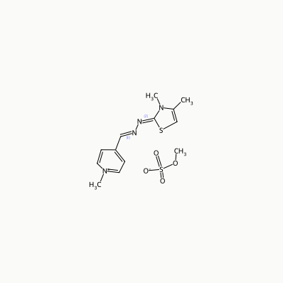 COS(=O)(=O)[O-].Cc1cs/c(=N\N=C\c2cc[n+](C)cc2)n1C